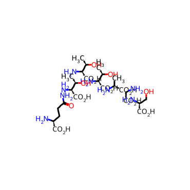 C[C@@H](O)[C@H](N)C(=O)O.C[C@@H](O)[C@H](N)C(=O)O.C[C@@H](O)[C@H](N)C(=O)O.C[C@H](N)C(=O)O.NC(=O)CC[C@H](N)C(=O)O.NCC(=O)O.N[C@@H](CO)C(=O)O